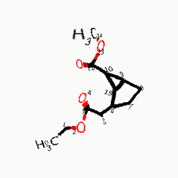 CCOC(=O)CC1CCC2C(C(=O)OC)C12